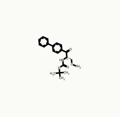 CC(C)(C)OC(=O)N[C@@H](COP)C(=O)c1ccc(-c2ccccc2)cc1